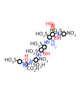 Nc1c(N=Nc2ccc3c(O)c(N=Nc4cc(/N=N/c5c(C(=O)O)nn(-c6ccc(S(=O)(=O)O)cc6)c5O)c(S(=O)(=O)O)cc4[N+](=O)[O-])c(S(=O)(=O)O)cc3c2S(=O)(=O)O)cc(S(=O)(=O)O)c2cc(SOOO)c(N=Nc3ccc([N+](=O)[O-])cc3S(=O)(=O)O)c(O)c12